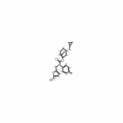 O=C(OC1C[N+]2(CC3CC3)CCC1CC2)N(Cc1ccc(Br)s1)c1ccc(F)cc1